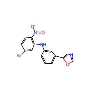 O=[N+]([O-])c1ccc(Br)cc1Nc1cccc(-c2cnco2)c1